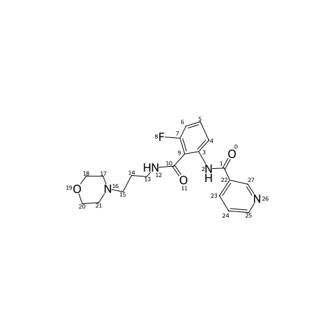 O=C(Nc1cccc(F)c1C(=O)NCCCN1CCOCC1)c1cccnc1